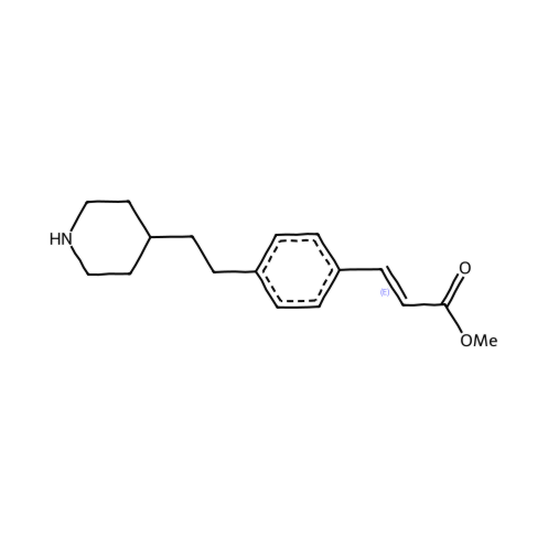 COC(=O)/C=C/c1ccc(CCC2CCNCC2)cc1